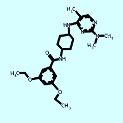 CCOc1cc(OCC)cc(C(=O)NC2CCC(Nc3nc(N(C)C)ncc3C)CC2)c1